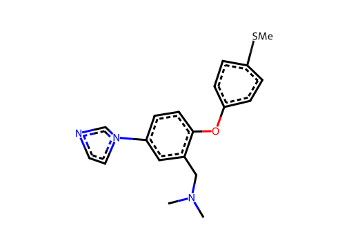 CSc1ccc(Oc2ccc(-n3ccnc3)cc2CN(C)C)cc1